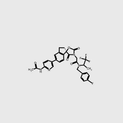 CC(=O)Nc1ccc(-c2ccc3c(c2)CC[C@@]32OC(=O)N(CC(=O)N(Cc3ccc(F)cc3)C(C)C(F)(F)F)C2=O)cn1